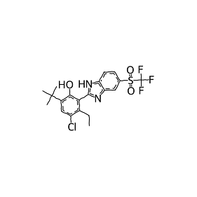 CCc1c(Cl)cc(C(C)(C)C)c(O)c1-c1nc2cc(S(=O)(=O)C(F)(F)F)ccc2[nH]1